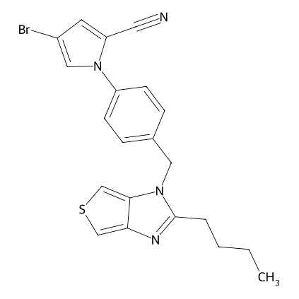 CCCCc1nc2cscc2n1Cc1ccc(-n2cc(Br)cc2C#N)cc1